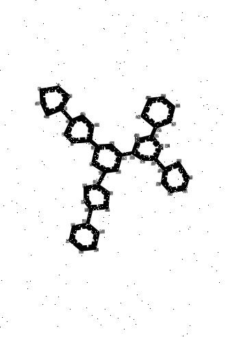 c1ccc(-c2ccc(-c3cc(-c4ccc(-c5ccccc5)cc4)cc(-c4cc(-c5ccccc5)nc(-c5ccccc5)n4)c3)cc2)cc1